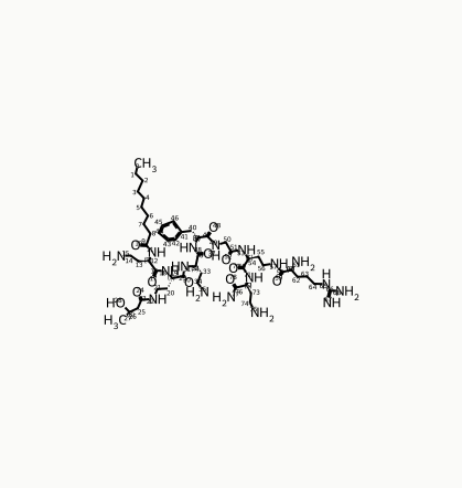 CCCCCCCCCC(=O)N[C@H](CCN)C(=O)N[C@@H](CCNC(=O)C[C@@H](C)O)C(=O)N[C@@H](CCN)C(=O)N[C@H](Cc1ccccc1)C(=O)NCC(=O)N[C@@H](CCNC(=O)[C@@H](N)CCCNC(=N)N)C(=O)N[C@@H](CCN)C(N)=O